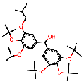 CC(C)COc1cc(C(O)c2cc(OC(C)(C)C)c(OC(C)(C)C)c(OC(C)(C)C)c2)cc(OC(C)C)c1OC(C)(C)C